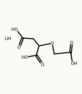 O=C(O)COC(CC(=O)O)C(=O)O.[LiH]